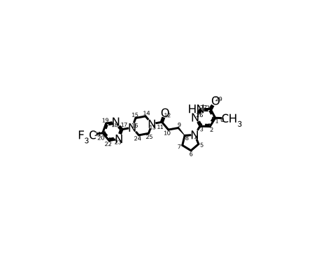 Cc1cc(N2CCC[C@H]2CCC(=O)N2CCN(c3ncc(C(F)(F)F)cn3)CC2)n[nH]c1=O